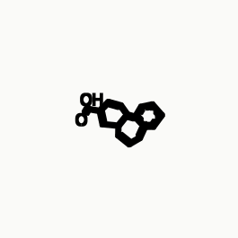 O=C(O)C1=CC2C=CC=c3ccccc3=C2C=C1